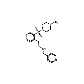 CN1CCN(S(=O)(=O)c2ccccc2C=NNCc2ccncc2)CC1